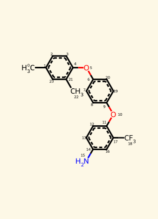 Cc1ccc(Oc2ccc(Oc3ccc(N)cc3C(F)(F)F)cc2)c(C)c1